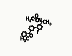 CC(=O)O/N=C(/C)c1ccc(I)c(-c2cccc(C(=O)c3ccccc3C)c2)c1